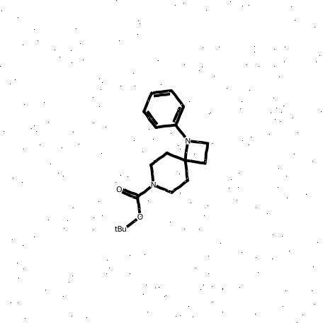 CC(C)(C)OC(=O)N1CCC2(CC1)CCN2c1ccccc1